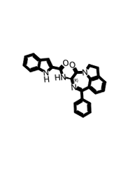 O=C(N[C@@H]1N=C(c2ccccc2)c2cccc3c2N(CC3)C1=O)c1cc2ccccc2[nH]1